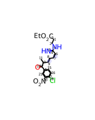 CCOC(=O)CCNC(=N)/C=C\C=C\C(C)C(=O)c1ccc(Cl)c([N+](=O)[O-])c1